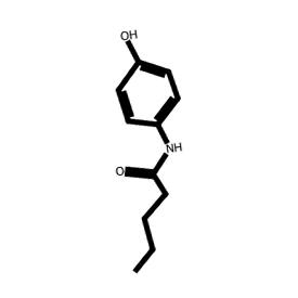 CCCCC(=O)Nc1ccc(O)cc1